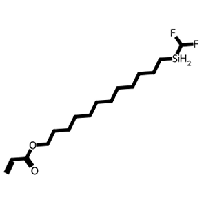 C=CC(=O)OCCCCCCCCCCCC[SiH2]C(F)F